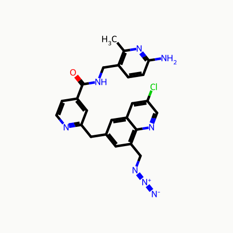 Cc1nc(N)ccc1CNC(=O)c1ccnc(Cc2cc(CN=[N+]=[N-])c3ncc(Cl)cc3c2)c1